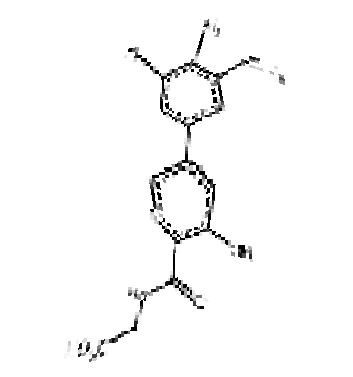 Bc1cc(-c2cnc(C(=O)NCC(=O)O)c(O)c2)cc(Cl)c1B